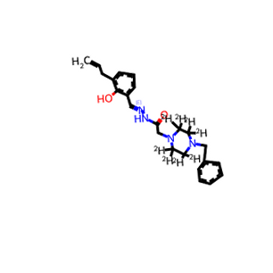 [2H]C1([2H])N(CC(=O)N/N=C/c2cccc(CC=C)c2O)C([2H])([2H])C([2H])([2H])N(Cc2ccccc2)C1([2H])[2H]